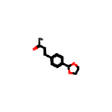 CC(C)(C)C(=O)C=Cc1ccc(C2OCCO2)cc1